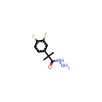 CC(C)(C(=O)NN)c1ccc(F)c(F)c1